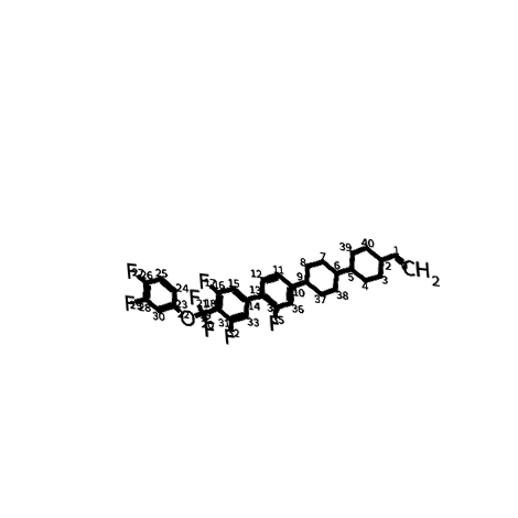 C=CC1CCC(C2CCC(c3ccc(-c4cc(F)c(C(F)(F)Oc5ccc(F)c(F)c5)c(F)c4)c(F)c3)CC2)CC1